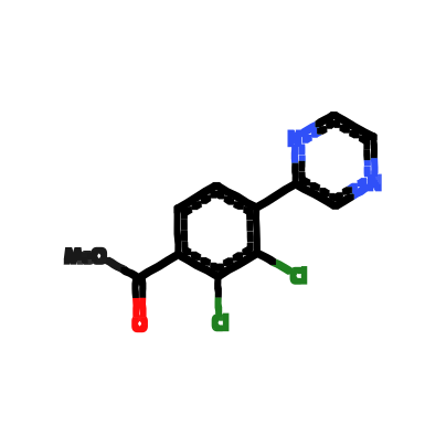 COC(=O)c1ccc(-c2cnccn2)c(Cl)c1Cl